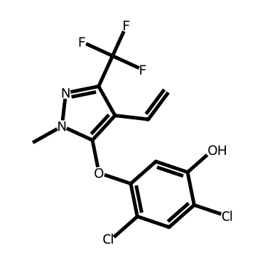 C=Cc1c(C(F)(F)F)nn(C)c1Oc1cc(O)c(Cl)cc1Cl